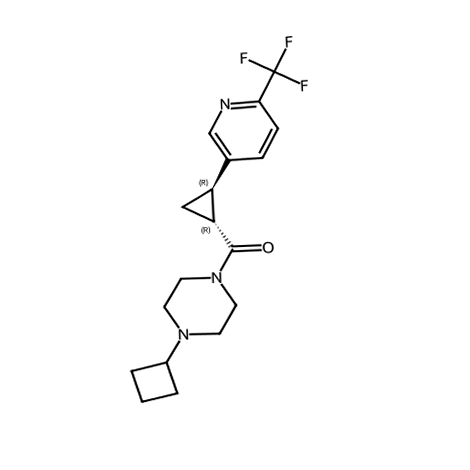 O=C([C@@H]1C[C@H]1c1ccc(C(F)(F)F)nc1)N1CCN(C2CCC2)CC1